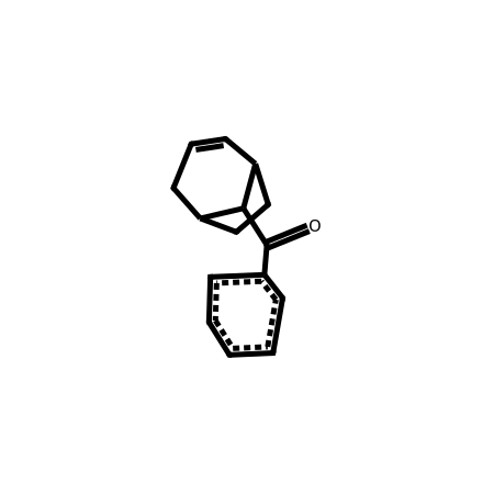 O=C(c1ccccc1)C1C2C=CCC1CC2